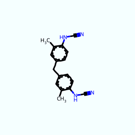 Cc1cc(Cc2ccc(NC#N)c(C)c2)ccc1NC#N